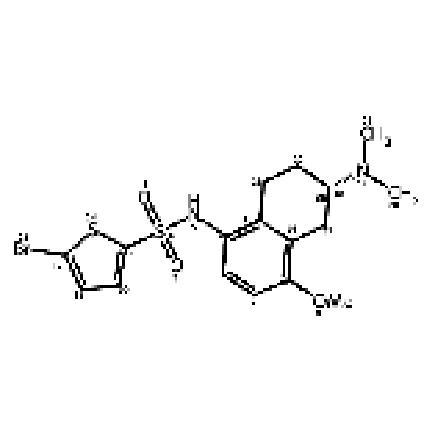 COc1ccc(NS(=O)(=O)c2ccc(Br)s2)c2c1C[C@@H](N(C)C)CC2